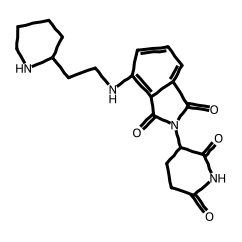 O=C1CCC(N2C(=O)c3cccc(NCCC4CCCCN4)c3C2=O)C(=O)N1